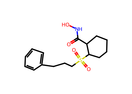 O=C(NO)C1CCCCC1S(=O)(=O)CCCc1ccccc1